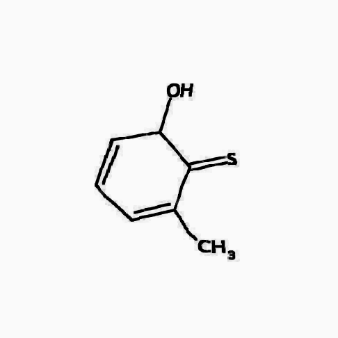 CC1=CC=CC(O)C1=S